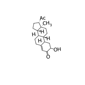 CC(=O)[C@H]1CC[C@H]2[C@@H]3CCC4=CC(=O)C(O)C[C@@H]4[C@H]3CC[C@]12C